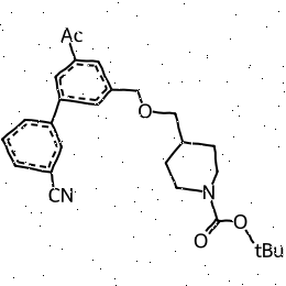 CC(=O)c1cc(COCC2CCN(C(=O)OC(C)(C)C)CC2)cc(-c2cccc(C#N)c2)c1